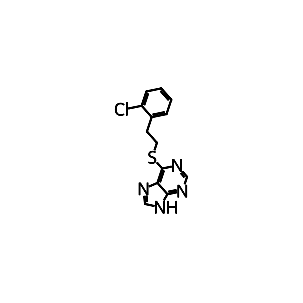 Clc1ccccc1CCSc1ncnc2[nH]cnc12